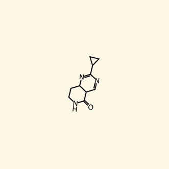 O=C1NCCC2N=C(C3CC3)N=CC12